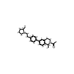 CC(=O)N1CCc2cc(-c3ccc(CCN4CCCC4C)cc3)ccc2C1C